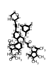 C[C@@H]1c2c(C(F)(F)F)nn(CC(=O)N[C@@H](Cc3cc(F)cc(F)c3)c3nc(C#CC4COCCN4)ccc3-c3ccc(Cl)c4c(NS(C)(=O)=O)nn(C)c34)c2C(F)(F)[C@@H]1C